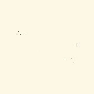 CCCCCCCCCCCC(=O)c1ccc(O)c(C(=O)O)c1